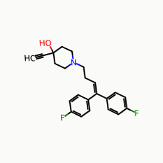 C#CC1(O)CCN(CCC=C(c2ccc(F)cc2)c2ccc(F)cc2)CC1